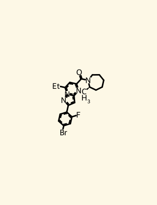 CCc1cc(C(=O)N2CCCCC[C@H]2C)nc2cc(-c3ccc(Br)cc3F)nn12